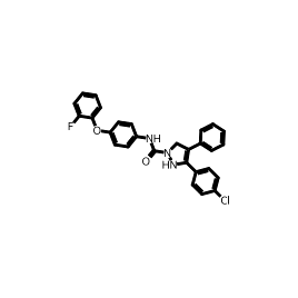 O=C(Nc1ccc(Oc2ccccc2F)cc1)N1CC(c2ccccc2)=C(c2ccc(Cl)cc2)N1